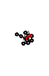 c1ccc(-c2ccc(-c3nc(-c4cccc5sc6ccccc6c45)nc(-n4c5ccccc5c5ccc6c7cccc8c7n(c6c54)-c4ccccc4-c4ccccc4-8)n3)cc2)cc1